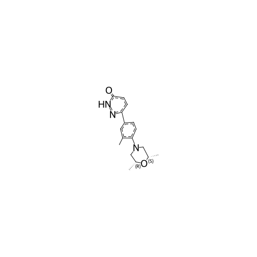 Cc1cc(-c2ccc(=O)[nH]n2)ccc1N1C[C@@H](C)O[C@@H](C)C1